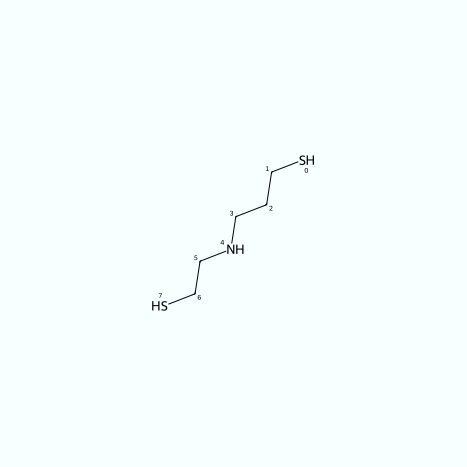 SCCCNCCS